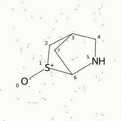 [O-][S+]1CC2CNC1C2